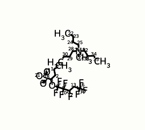 CCCC(OC(F)(F)C(F)(F)C(F)CC(F)(F)F)S(=O)(=O)[O-].CCCC[N+](C)(CCCC)CCCC